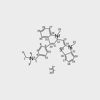 CC[N+](C)(C)Cc1ccc(-c2cc(C=C3Sc4ccccc4N3C)[n+](C)c3ccccc23)cc1.[I-].[I-]